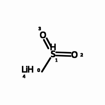 C[SH](=O)=O.[LiH]